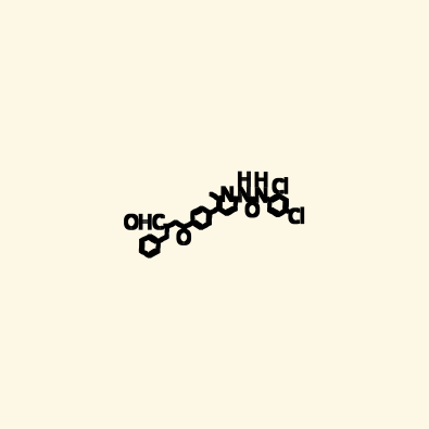 Cc1nc(NC(=O)Nc2ccc(Cl)cc2Cl)ccc1-c1ccc(C(=O)CC(C=O)Cc2ccccc2)cc1